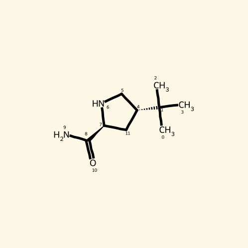 CC(C)(C)[C@H]1CN[C@H](C(N)=O)C1